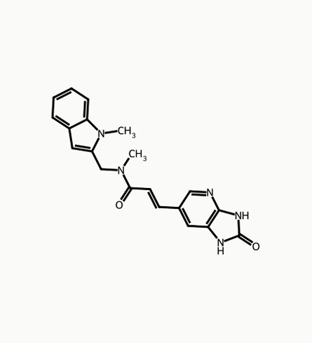 CN(Cc1cc2ccccc2n1C)C(=O)/C=C/c1cnc2[nH]c(=O)[nH]c2c1